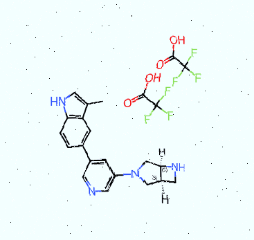 Cc1c[nH]c2ccc(-c3cncc(N4C[C@@H]5CN[C@@H]5C4)c3)cc12.O=C(O)C(F)(F)F.O=C(O)C(F)(F)F